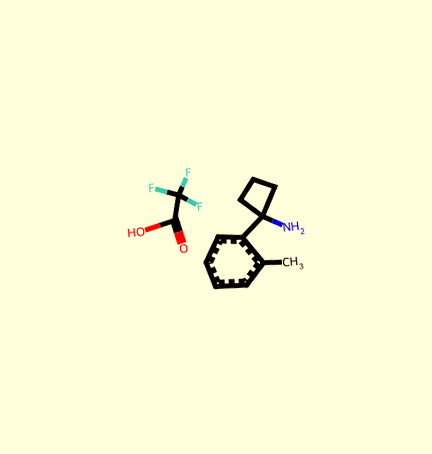 Cc1ccccc1C1(N)CCC1.O=C(O)C(F)(F)F